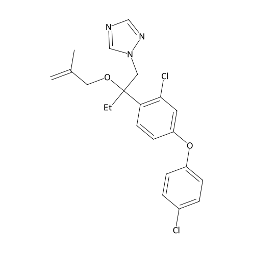 C=C(C)COC(CC)(Cn1cncn1)c1ccc(Oc2ccc(Cl)cc2)cc1Cl